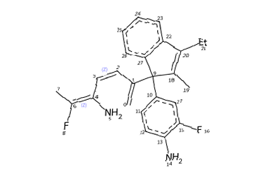 C=C(/C=C\C(N)=C(/C)F)C1(c2ccc(N)c(F)c2)C(C)=C(CC)c2ccccc21